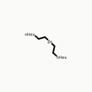 CCCCCCC[CH2][Zn][CH2]CCCCCCC